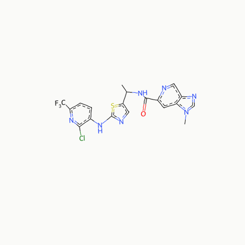 CC(NC(=O)c1cc2c(cn1)ncn2C)c1cnc(Nc2ccc(C(F)(F)F)nc2Cl)s1